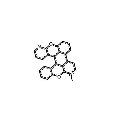 C[n+]1ccc2c3cccc4oc5ncccc5c(c43)c3c4ccccc4oc1c23